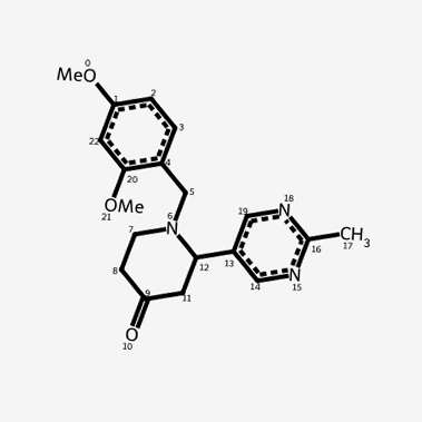 COc1ccc(CN2CCC(=O)CC2c2cnc(C)nc2)c(OC)c1